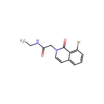 O=C(Cn1ccc2cccc(Br)c2c1=O)NCC(F)(F)F